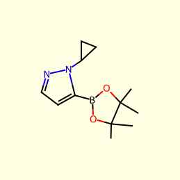 CC1(C)OB(c2ccnn2C2CC2)OC1(C)C